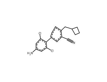 N#Cc1cc(-c2c(Cl)cc(N)cc2Cl)ccc1CC1CCC1